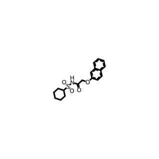 O=C(COc1ccc2ccccc2c1)NS(=O)(=O)C1CCCCC1